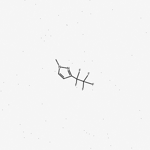 Cn1ccc(C(F)(F)C(F)(F)F)n1